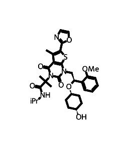 COc1ccccc1[C@H](Cn1c(=O)n(C(C)(C)C(=O)NC(C)C)c(=O)c2c(C)c(-c3ncco3)sc21)O[C@H]1CC[C@@H](O)CC1